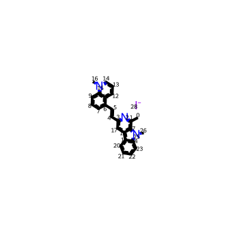 Cc1nc(/C=C/c2cccc3c2ccc[n+]3C)cc2c3ccccc3n(C)c12.[I-]